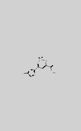 COC(=O)C1=CC(c2ncc(Br)s2)=NS(=O)(=O)N1